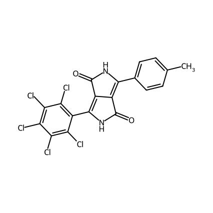 Cc1ccc(C2=C3C(=O)NC(c4c(Cl)c(Cl)c(Cl)c(Cl)c4Cl)=C3C(=O)N2)cc1